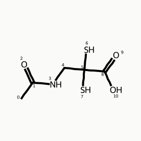 CC(=O)NCC(S)(S)C(=O)O